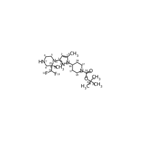 Cc1cc(N2CCNC[C@@]2(C)C(F)F)nn1C1CCN(C(=O)OC(C)(C)C)CC1